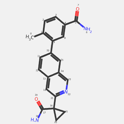 Cc1ccc(C(N)=O)cc1-c1ccc2cc(C3(C(N)=O)CC3)ncc2c1